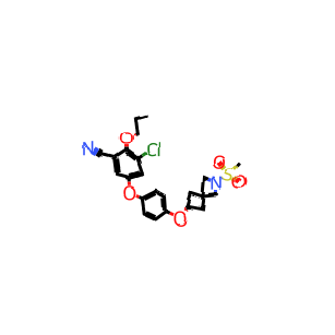 CCCOc1c(Cl)cc(Oc2ccc(OC3CC4(C3)CN(S(C)(=O)=O)C4)cc2)cc1C#N